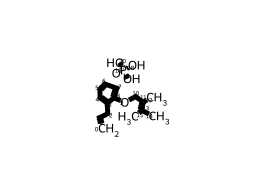 C=CCc1ccccc1OCC(C)=C(C)C.O=P(O)(O)O